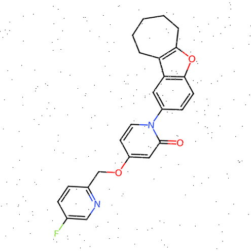 O=c1cc(OCc2ccc(F)cn2)ccn1-c1ccc2oc3c(c2c1)CCCCC3